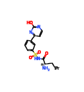 CC(C)C[C@H](N)C(=O)NS(=O)(=O)c1cccc(-c2ccnc(O)n2)c1